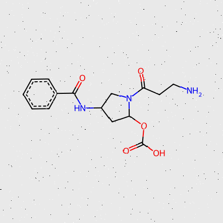 NCCC(=O)N1CC(NC(=O)c2ccccc2)CC1OC(=O)O